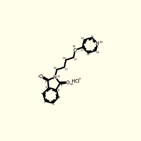 Cl.O=C1c2ccccc2C(=O)N1CCCCOc1ccncc1